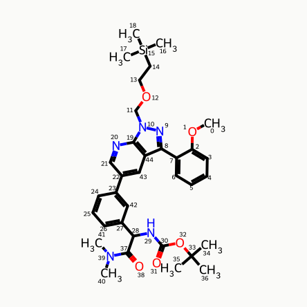 COc1ccccc1-c1nn(COCC[Si](C)(C)C)c2ncc(-c3cccc(C(NC(=O)OC(C)(C)C)C(=O)N(C)C)c3)cc12